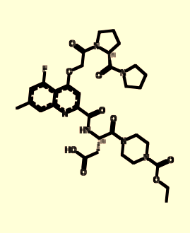 CCOC(=O)N1CCN(C(=O)[C@H](CC(=O)O)NC(=O)c2cc(OCC(=O)N3CCC[C@H]3C(=O)N3CCCC3)c3c(F)cc(C)cc3n2)CC1